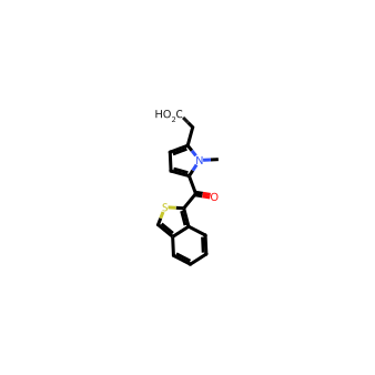 Cn1c(CC(=O)O)ccc1C(=O)c1scc2ccccc12